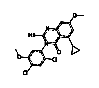 COc1cc(C2CC2)c2c(=O)n(-c3cc(OC)c(Cl)cc3Cl)c(S)nc2c1